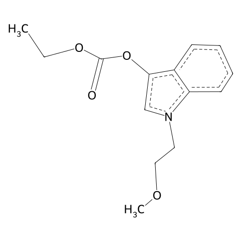 CCOC(=O)Oc1cn(CCOC)c2ccccc12